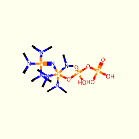 CN(C)P(=NP(OP(=O)(O)OP(=O)(O)O)(N(C)C)(N(C)C)N(C)C)(N(C)C)N(C)C